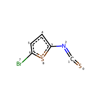 S=C=Nc1ccc(Br)s1